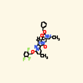 CCCC(C)(CNC(=O)c1c(C2CC2)nn2c(OCc3c(F)ccc(F)c3F)cc(C)cc12)NC(=O)OCc1ccccc1